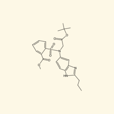 CCCc1nc2cc(N(CC(=O)OC(C)(C)C)S(=O)(=O)c3ccccc3C(=O)OC)ccc2[nH]1